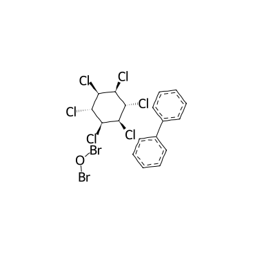 BrOBr.Cl[C@H]1[C@H](Cl)[C@@H](Cl)[C@@H](Cl)[C@H](Cl)[C@H]1Cl.c1ccc(-c2ccccc2)cc1